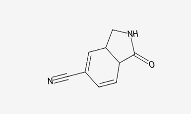 N#CC1=CC2CNC(=O)C2C=C1